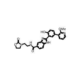 COc1ncccc1-c1ccc(O)c(-c2nc3cc(C(=O)NCCN4CCOC4=O)ccc3[nH]2)c1